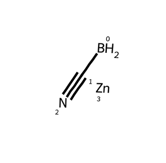 BC#N.[Zn]